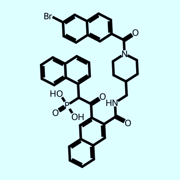 O=C(NCC1CCN(C(=O)c2ccc3cc(Br)ccc3c2)CC1)c1cc2ccccc2cc1C(=O)C(c1cccc2ccccc12)P(=O)(O)O